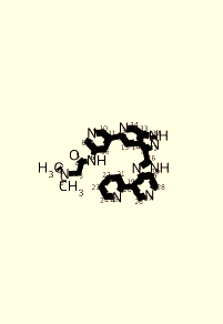 CN(C)CC(=O)Nc1cncc(-c2cc3c(-c4nc5c(-c6ccccn6)cncc5[nH]4)n[nH]c3cn2)c1